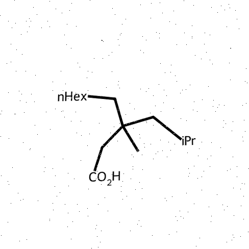 CCCCCCCC(C)(CC(=O)O)CC(C)C